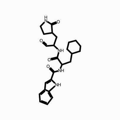 O=CC(CC1CCNC1=O)NC(=O)C(CC1CCCCC1)NC(=O)c1cc2ccccc2[nH]1